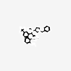 CCN(C1CCN(Cc2ccccc2)C1)C(c1cccc(C(F)(F)F)c1)c1nnnn1-c1c(C)cccc1C